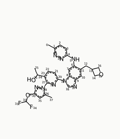 Cc1ccc(Nc2cc3c(cc2CC2COC2)ncn3-c2ccc(C(C)O)c(-n3nc(OC(F)F)cc3C)n2)nn1